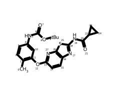 Cc1ccc(NC(=O)OC(C)(C)C)cc1Oc1ccc2nc(NC(=O)C3CC3)sc2n1